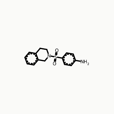 Nc1ccc(S(=O)(=O)N2CCc3ccccc3C2)cc1